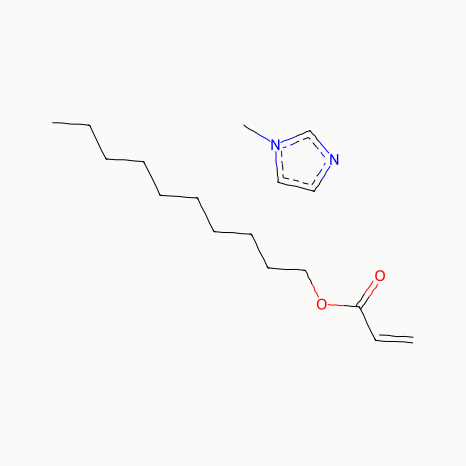 C=CC(=O)OCCCCCCCCCC.Cn1ccnc1